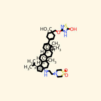 C=C(C)[C@@H]1CC[C@]2(NCCN3CCS(=O)(=O)CC3)CC[C@]3(C)[C@H](CC[C@@H]4[C@@]5(C)CC=C(C6=CCC(COC7=NSC(O)N7)(C(=O)O)CC6)C(C)(C)[C@@H]5CC[C@]43C)[C@@H]12